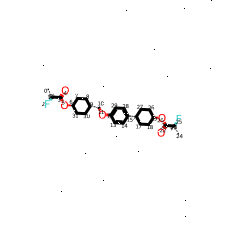 C[C@@H](F)C(=O)O[C@H]1CC[C@H](COc2ccc([C@H]3CC[C@H](OC(=O)[C@@H](C)F)CC3)cc2)CC1